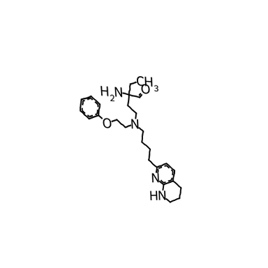 CCC(N)(C=O)CCN(CCCCc1ccc2c(n1)NCCC2)CCOc1ccccc1